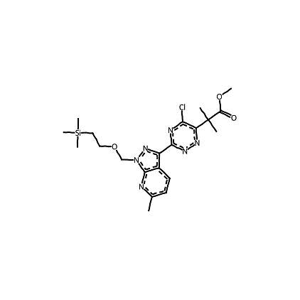 COC(=O)C(C)(C)c1nnc(-c2nn(COCC[Si](C)(C)C)c3nc(C)ccc23)nc1Cl